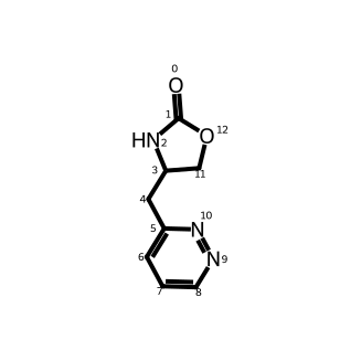 O=C1NC(Cc2cccnn2)CO1